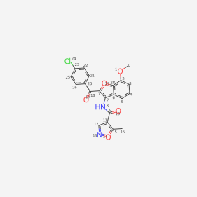 COc1cccc2c(NC(=O)c3cnoc3C)c(C(=O)c3ccc(Cl)cc3)oc12